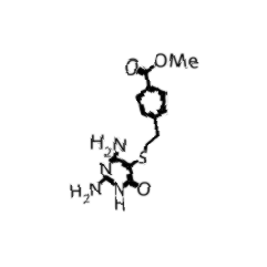 COC(=O)c1ccc(CCSc2c(N)nc(N)[nH]c2=O)cc1